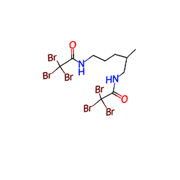 CC(CCCNC(=O)C(Br)(Br)Br)CNC(=O)C(Br)(Br)Br